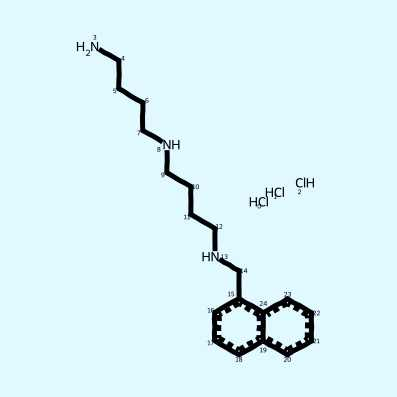 Cl.Cl.Cl.NCCCCNCCCCNCc1cccc2ccccc12